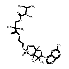 CC(C)[C@H](N)C(=O)OCC(C)(C)C(=O)SCCO[P@@]1(=O)OC[C@H]2O[C@@H](n3cnc4cnc(N)nc43)[C@](C)(O)[C@@H]2O1